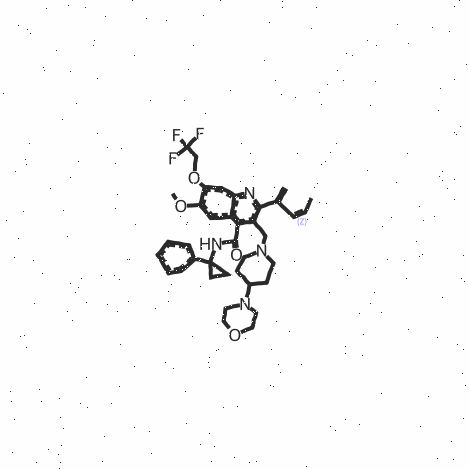 C=C(/C=C\C)c1nc2cc(OCC(F)(F)F)c(OC)cc2c(C(=O)NC2(c3ccccc3)CC2)c1CN1CCC(N2CCOCC2)CC1